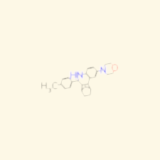 Cc1ccc(C2Nc3ccc(N4CCOCC4)cc3C3C4CCC(C4)C23)cc1